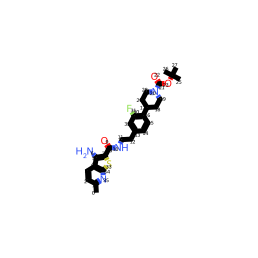 Cc1ccc2c(N)c(C(=O)NCCc3ccc(C4CCN(C(=O)OC(C)(C)C)CC4)c(F)c3)sc2n1